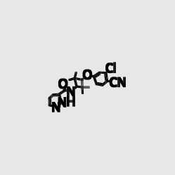 CC1(C)C(NC(=O)c2cccnn2)C(C)(C)C1Oc1ccc(C#N)c(Cl)c1